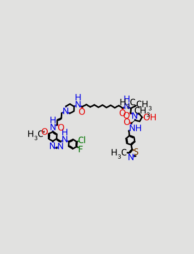 COc1cc2ncnc(Nc3ccc(F)c(Cl)c3)c2cc1NC(=O)/C=C/CN1CCC(NC(=O)CCCCCCCCCC(=O)NC(C(=O)N2C[C@H](O)C[C@H]2C(=O)NCc2ccc(-c3scnc3C)cc2)C(C)(C)C)CC1